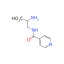 NC(CNC(=O)c1ccncc1)C(=O)O